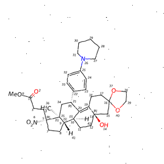 COC(=O)CC[C@]1([N+](=O)[O-])CC[C@H]2[C@@H]3CC[C@@]4(O)CC5(CCC4=C3[C@@H](c3ccc(N4CCCCC4)cc3)C[C@@]21C)OCCO5